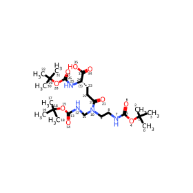 CC(C)(C)OC(=O)NCCN(CNC(=O)OC(C)(C)C)C(=O)CC[C@H](NC(=O)OC(C)(C)C)C(=O)O